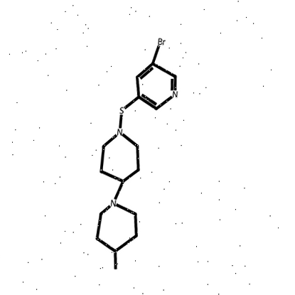 CC1CCN(C2CCN(Sc3cncc(Br)c3)CC2)CC1